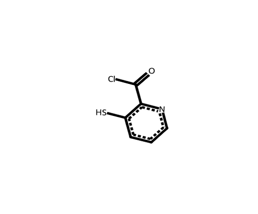 O=C(Cl)c1ncccc1S